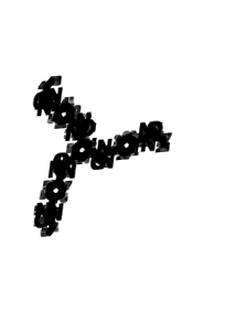 CCc1nc(-c2ccc(-c3noc(-c4cc(-c5nc(-c6ccc(-c7noc(CC)n7)cc6)no5)cc(-c5nc(-c6ccc(-c7noc(CC)n7)cc6)no5)c4)n3)cc2)no1